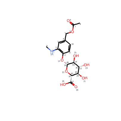 CNc1cc(COC(C)=O)ccc1O[C@H]1O[C@@H](C(=O)O)[C@H](O)[C@@H](O)[C@@H]1O